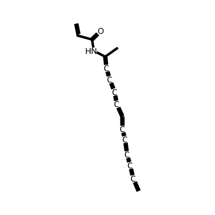 C=C=C=C=C=C=C=C=C=C=C=C(C)NC(=O)C=C